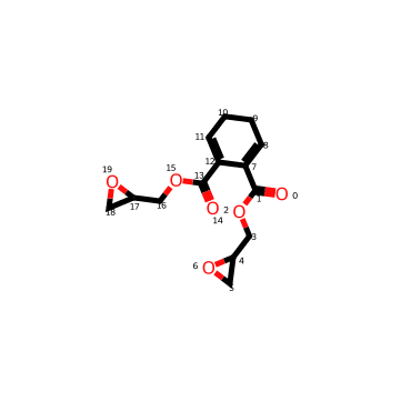 O=C(OCC1CO1)C1=CCCC=C1C(=O)OCC1CO1